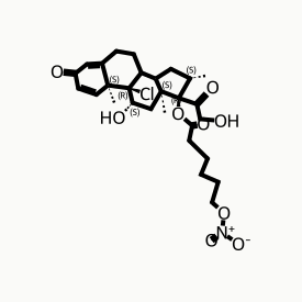 C[C@H]1CC2C3CCC4=CC(=O)C=C[C@]4(C)[C@@]3(Cl)[C@@H](O)C[C@]2(C)[C@@]1(OC(=O)CCCCCO[N+](=O)[O-])C(=O)CO